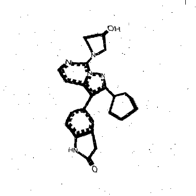 O=C1Cc2cc(-c3c(C4CCCC4)nn4c(N5CC(O)C5)nccc34)ccc2N1